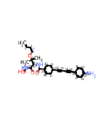 C=C/C=C\OC(C)(C)[C@H](NC(=O)c1ccc(C#CC#Cc2ccc(N)cc2)cc1)C(=O)NO